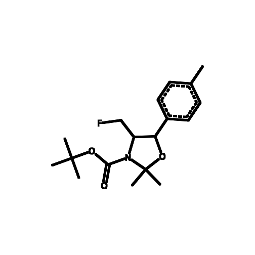 Cc1ccc(C2OC(C)(C)N(C(=O)OC(C)(C)C)C2CF)cc1